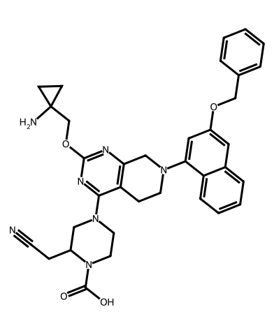 N#CCC1CN(c2nc(OCC3(N)CC3)nc3c2CCN(c2cc(OCc4ccccc4)cc4ccccc24)C3)CCN1C(=O)O